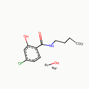 CC(C)O.O=C([O-])CCCNC(=O)c1ccc(Cl)cc1O.[Na+]